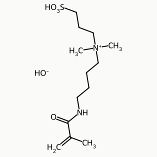 C=C(C)C(=O)NCCCC[N+](C)(C)CCCS(=O)(=O)O.[OH-]